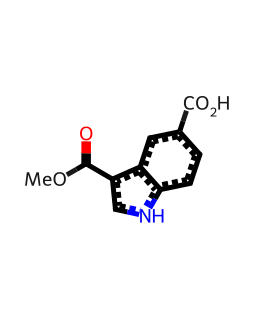 COC(=O)c1c[nH]c2ccc(C(=O)O)cc12